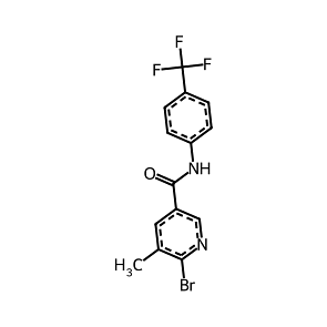 Cc1cc(C(=O)Nc2ccc(C(F)(F)F)cc2)cnc1Br